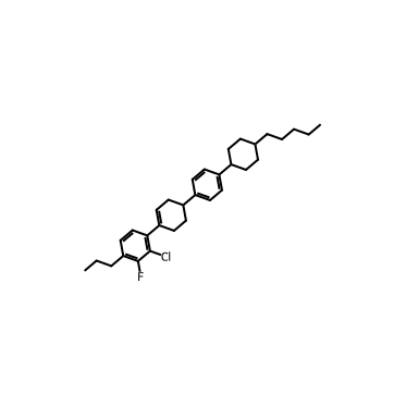 CCCCCC1CCC(c2ccc(C3CC=C(c4ccc(CCC)c(F)c4Cl)CC3)cc2)CC1